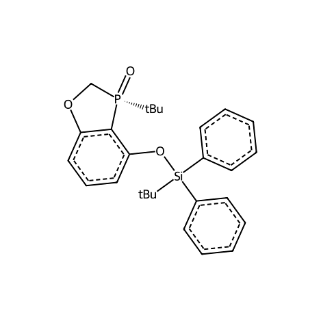 CC(C)(C)[Si](Oc1cccc2c1[P@@](=O)(C(C)(C)C)CO2)(c1ccccc1)c1ccccc1